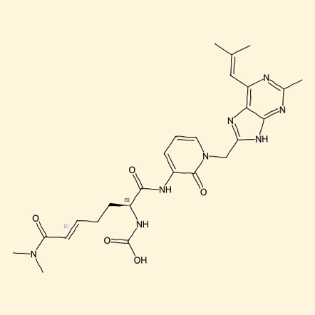 CC(C)=Cc1nc(C)nc2[nH]c(Cn3cccc(NC(=O)[C@H](CC/C=C/C(=O)N(C)C)NC(=O)O)c3=O)nc12